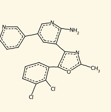 Cc1nc(-c2cc(-c3cccnc3)cnc2N)c(-c2cccc(Cl)c2Cl)o1